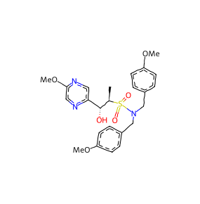 COc1ccc(CN(Cc2ccc(OC)cc2)S(=O)(=O)[C@H](C)[C@H](O)c2cnc(OC)cn2)cc1